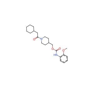 COc1ccccc1NC(=O)OCC1CCN(C(=O)CC2CCCCC2)CC1